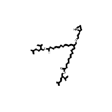 CC(C)CCC(COC(=O)CCCCCCCCCC(CCCCCCCCCC(=O)OCC(CCC(C)C)C(C)C)COCCCC1CCCN1)C(C)C